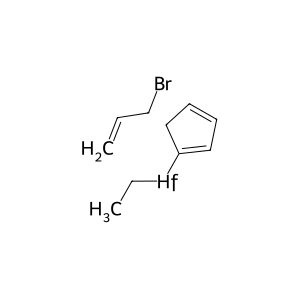 C=CCBr.C[CH2][Hf][C]1=CC=CC1